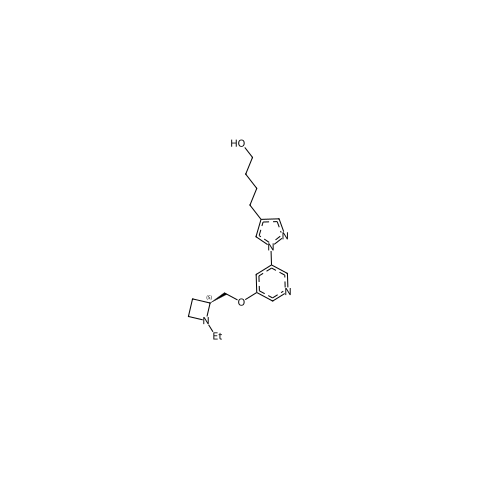 CCN1CC[C@H]1COc1cncc(-n2cc(CCCCO)cn2)c1